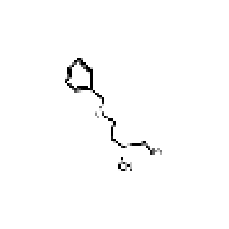 CC(C)C[C@H](C#N)CCOCc1ccccc1